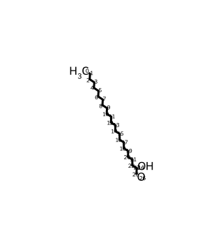 CCCCCCCCCCCCCCCCCCCCCCCC(O)C=O